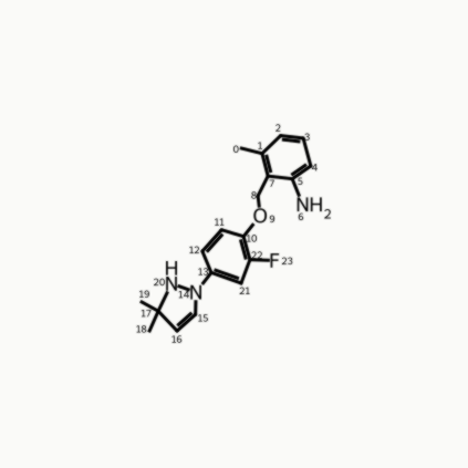 Cc1cccc(N)c1COc1ccc(N2C=CC(C)(C)N2)cc1F